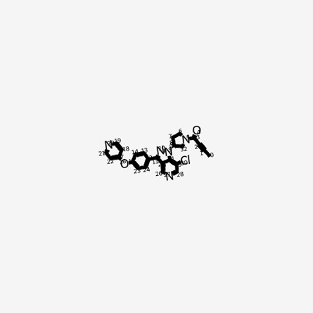 CC#CC(=O)N1CC[C@@H](n2nc(-c3ccc(Oc4ccncc4)cc3)c3cncc(Cl)c32)C1